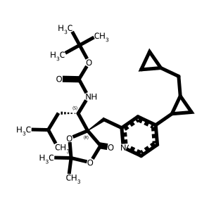 CC(C)C[C@H](NC(=O)OC(C)(C)C)[C@@]1(Cc2cc(C3CC3CC3CC3)ccn2)OC(C)(C)OC1=O